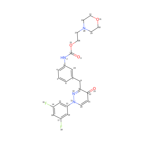 O=C(Nc1cccc(Cc2nn(-c3cc(F)cc(F)c3)ccc2=O)c1)OCCN1CCOCC1